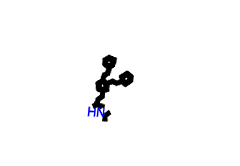 CC(CCc1ccc(CCc2ccccc2)c(CCc2ccccc2)c1)CNC(C)C